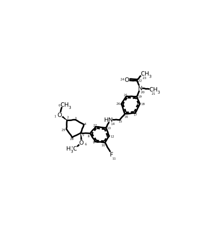 CO[C@H]1CC[C@](OC)(c2cc(F)cc(NCc3ccc(N(C)C(C)=O)cc3)c2)CC1